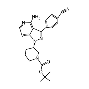 CC(C)(C)OC(=O)N1CCC[C@@H](n2nc(-c3ccc(C#N)cc3)c3c(N)ncnc32)C1